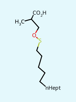 CCCCCCCCCCCCSOCC(C)C(=O)O